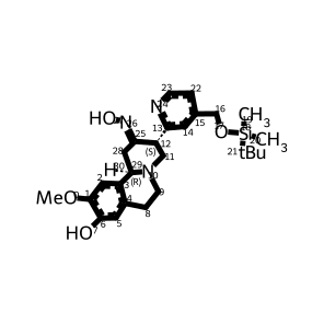 COc1cc2c(cc1O)CCN1C[C@@H](c3cc(CO[Si](C)(C)C(C)(C)C)ccn3)C(=NO)C[C@H]21